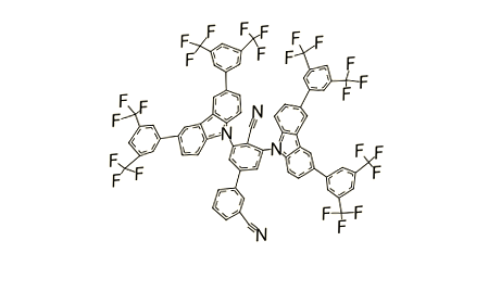 N#Cc1cccc(-c2cc(-n3c4ccc(-c5cc(C(F)(F)F)cc(C(F)(F)F)c5)cc4c4cc(-c5cc(C(F)(F)F)cc(C(F)(F)F)c5)ccc43)c(C#N)c(-n3c4ccc(-c5cc(C(F)(F)F)cc(C(F)(F)F)c5)cc4c4cc(-c5cc(C(F)(F)F)cc(C(F)(F)F)c5)ccc43)c2)c1